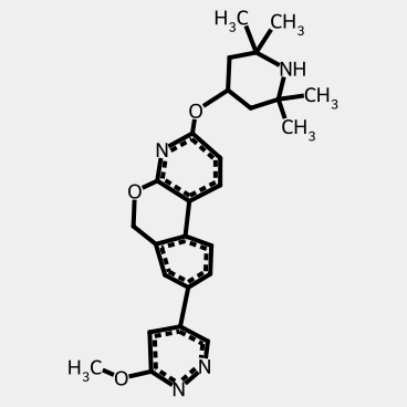 COc1cc(-c2ccc3c(c2)COc2nc(OC4CC(C)(C)NC(C)(C)C4)ccc2-3)cnn1